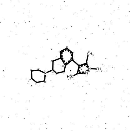 Cc1nn(C)c(C)c1-c1cccc2c1CCC(N1CCCCC1)C2